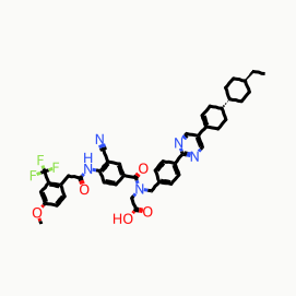 CC[C@H]1CC[C@H](C2CC=C(c3cnc(-c4ccc(CN(CC(=O)O)C(=O)c5ccc(NC(=O)Cc6ccc(OC)cc6C(F)(F)F)c(C#N)c5)cc4)nc3)CC2)CC1